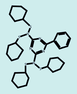 c1ccc(-c2nc(N(SC3CCCCC3)SC3CCCCC3)nc(N(SC3CCCCC3)SC3CCCCC3)n2)cc1